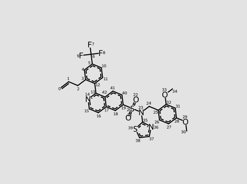 C=CCc1cc(C(F)(F)F)ccc1-c1nccc2cc(S(=O)(=O)N(Cc3ccc(OC)cc3OC)c3nccs3)ccc12